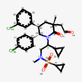 CN(CC(C1CC1)N1C(=O)[C@@](C)(CC=O)C[C@H](c2cccc(Cl)c2)[C@H]1c1ccc(Cl)cc1)S(=O)(=O)C1CC1